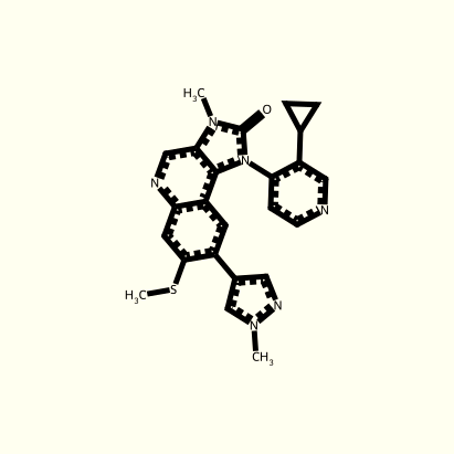 CSc1cc2ncc3c(c2cc1-c1cnn(C)c1)n(-c1ccncc1C1CC1)c(=O)n3C